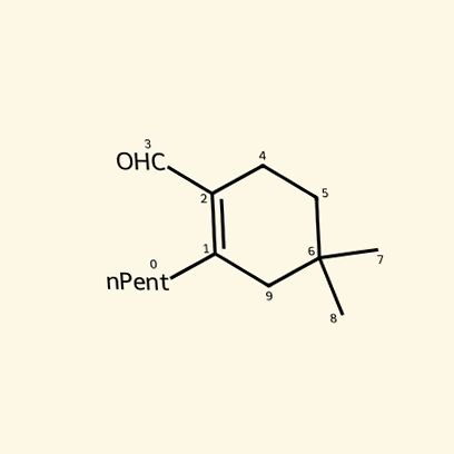 CCCCCC1=C(C=O)CCC(C)(C)C1